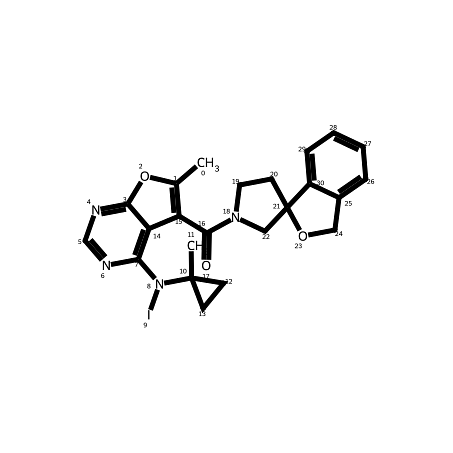 Cc1oc2ncnc(N(I)C3(C)CC3)c2c1C(=O)N1CCC2(C1)OCc1ccccc12